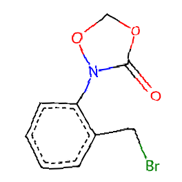 O=C1OCON1c1ccccc1CBr